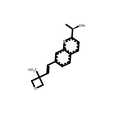 CC(=O)O[C@H](C)c1ccc2ccc(/C=C/C3(C(=O)O)COC3)cc2n1